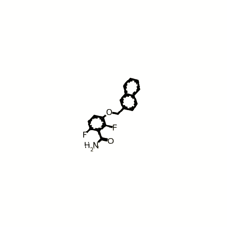 NC(=O)c1c(F)ccc(OCc2ccc3ccccc3c2)c1F